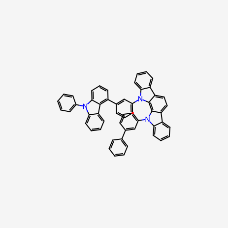 c1ccc(-c2cccc(-n3c4ccccc4c4ccc5c6ccccc6n(-c6cccc(-c7cccc8c7c7ccccc7n8-c7ccccc7)c6)c5c43)c2)cc1